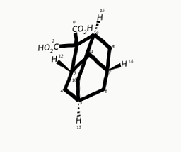 O=C(O)C1(C(=O)O)[C@H]2C[C@@H]3C[C@@H](C[C@H]1C3)C2